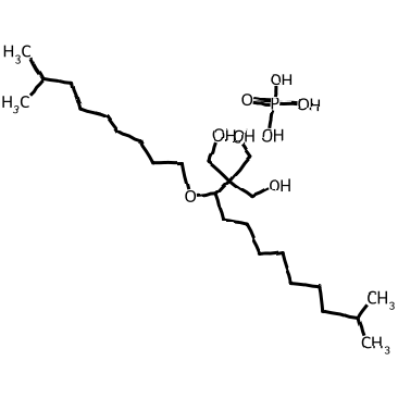 CC(C)CCCCCCCOC(CCCCCCCC(C)C)C(CO)(CO)CO.O=P(O)(O)O